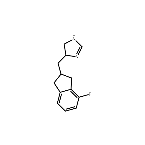 Fc1cccc2c1CC(CC1CNC=N1)C2